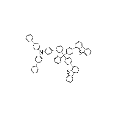 c1ccc(-c2ccc(N(c3ccc(-c4ccccc4)cc3)c3ccc(-c4cccc5c4-c4ccccc4C5(c4ccc(-c5cccc6c5sc5ccccc56)cc4)c4ccc(-c5cccc6c5sc5ccccc56)cc4)cc3)cc2)cc1